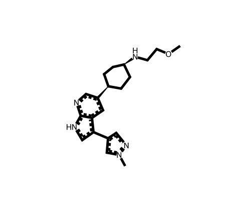 COCCN[C@H]1CC[C@@H](c2cnc3[nH]cc(-c4cnn(C)c4)c3c2)CC1